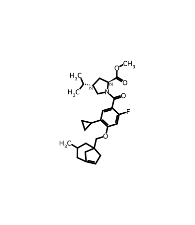 COC(=O)[C@@H]1C[C@@H](C(C)C)CN1C(=O)c1cc(C2CC2)c(OCC23CC=C(CC(C)C2)C3)cc1F